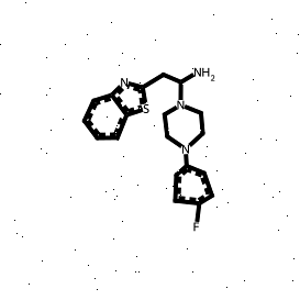 NC(Cc1nc2ccccc2s1)N1CCN(c2ccc(F)cc2)CC1